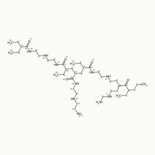 CCCC(CC)C(=O)N(CCNCN)CCNCCNC(=O)C(CC)CC(CC(CC)C(=O)NCCNCCNC(=O)C(CC)CC)C(=O)NCCNCCN